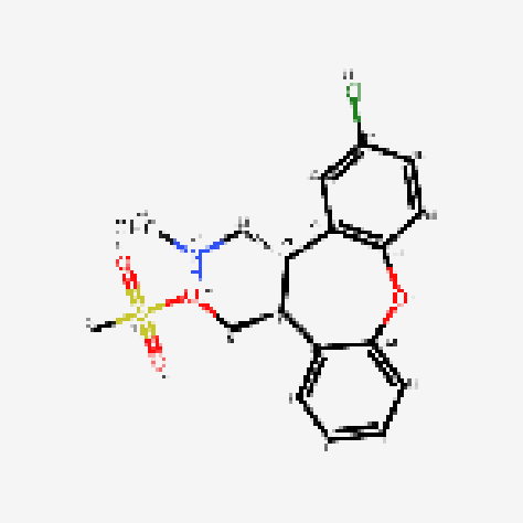 CS(=O)(=O)OC[C@@H]1c2ccccc2Oc2ccc(Cl)cc2[C@H]1CNC=O